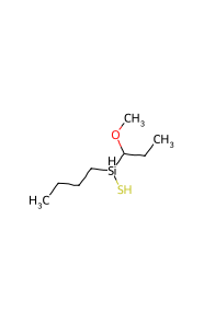 CCCC[SiH](S)C(CC)OC